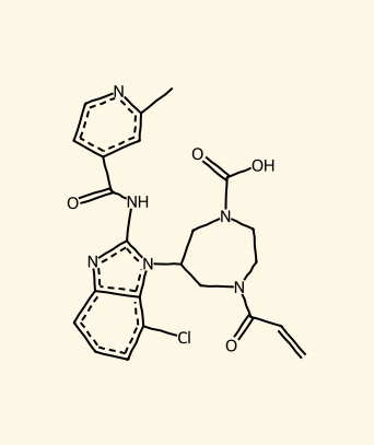 C=CC(=O)N1CCN(C(=O)O)CC(n2c(NC(=O)c3ccnc(C)c3)nc3cccc(Cl)c32)C1